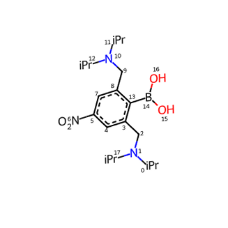 CC(C)N(Cc1cc([N+](=O)[O-])cc(CN(C(C)C)C(C)C)c1B(O)O)C(C)C